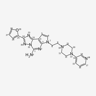 Nc1nc2c(ccn2CCN2CCN(c3cccnc3)CC2)c2nc(-c3ccco3)nn12